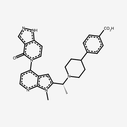 C[C@H](c1cc2c(-n3ccc4[nH]ncc4c3=O)ccnc2n1C)N1CCC(c2ccc(C(=O)O)cc2)CC1